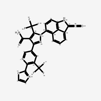 NC(=O)c1c(-c2cnc(-c3ncco3)c(C(F)(F)F)c2)nn(-c2ccc3[nH]c(=C=O)c4cccc2c34)c1C(F)(F)F